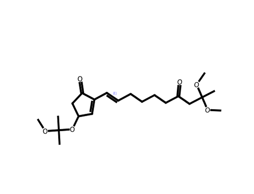 COC(C)(C)OC1C=C(/C=C/CCCCC(=O)CC(C)(OC)OC)C(=O)C1